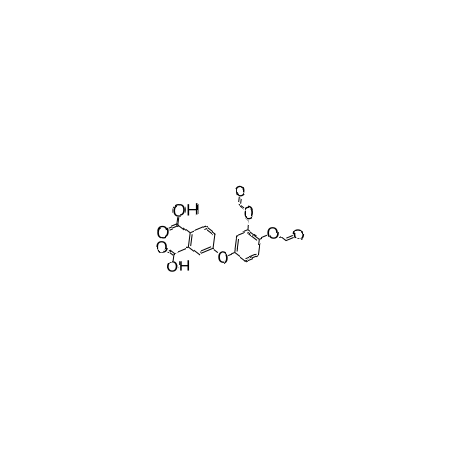 O=COc1ccc(Oc2ccc(C(=O)O)c(C(=O)O)c2)cc1OC=O